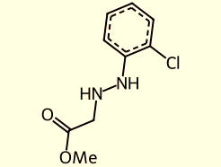 COC(=O)CNNc1ccccc1Cl